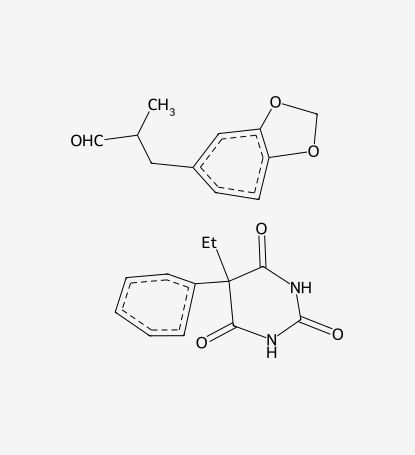 CC(C=O)Cc1ccc2c(c1)OCO2.CCC1(c2ccccc2)C(=O)NC(=O)NC1=O